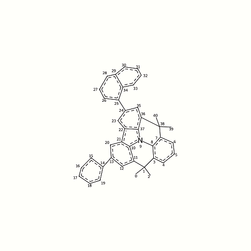 CC1(C)c2cccc3c2-n2c4c1cc(-c1ccccc1)cc4c1cc(-c4cccc5ccccc45)cc(c12)C3(C)C